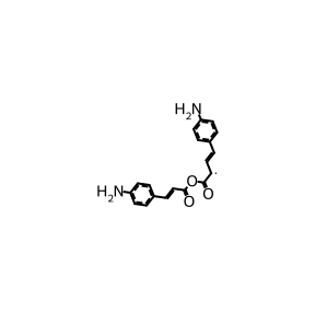 Nc1ccc(/C=C/[CH]C(=O)OC(=O)/C=C/c2ccc(N)cc2)cc1